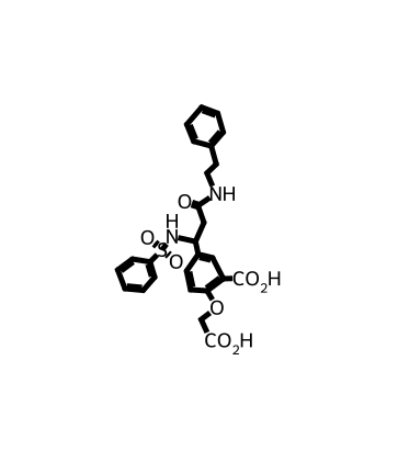 O=C(O)COc1ccc(C(CC(=O)NCCc2ccccc2)NS(=O)(=O)c2ccccc2)cc1C(=O)O